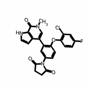 Cn1cc(-c2cc(N3C(=O)CCC3=O)ccc2Oc2ccc(F)cc2Cl)c2cc[nH]c2c1=O